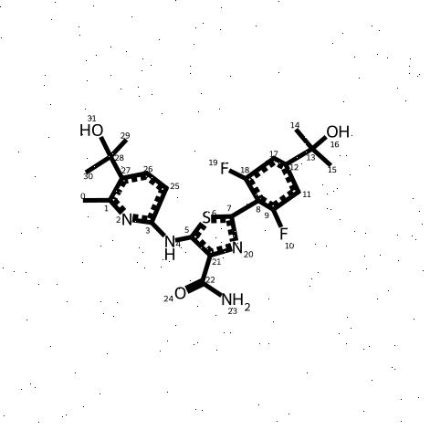 Cc1nc(Nc2sc(-c3c(F)cc(C(C)(C)O)cc3F)nc2C(N)=O)ccc1C(C)(C)O